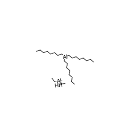 CCCCCCC[CH2][Al]([CH2]CCCCCCC)[CH2]CCCCCCC.C[CH2][Al][CH2]C.[HH]